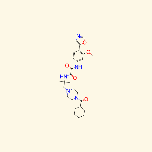 COc1cc(NC(=O)C(=O)NC(C)(C)CN2CCN(C(=O)C3CCCCC3)CC2)ccc1-c1cnco1